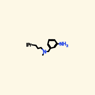 CC(C)CCCN(C)Cc1cccc(N)c1